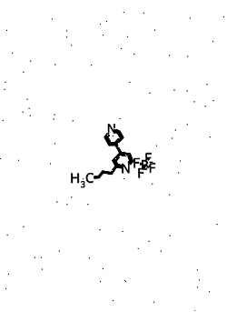 CCCCc1cc(-c2ccncc2)ccn1.F[B-](F)(F)F